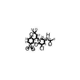 CC(=O)Nc1cc(Cl)c(=O)n(C2=CC(C)(C)Oc3ccc([N+](=O)[O-])cc32)c1